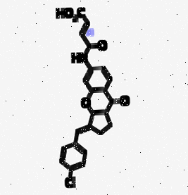 O=C(O)/C=C/C(=O)Nc1ccc2c(=O)c3c(oc2c1)C(=Cc1ccc(Cl)cc1)CC3